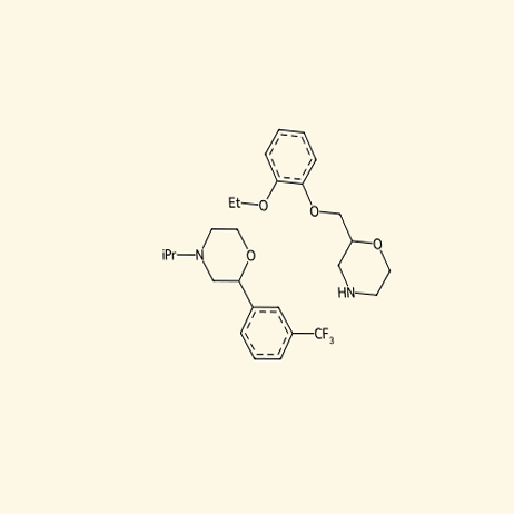 CC(C)N1CCOC(c2cccc(C(F)(F)F)c2)C1.CCOc1ccccc1OCC1CNCCO1